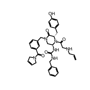 C=CCNCC(=O)N1[C@@H](NC(=O)NCc2ccccc2)CN(Cc2cccc(C(=O)N3CC=CC3)c2)C(=O)[C@@H]1Cc1ccc(O)cc1